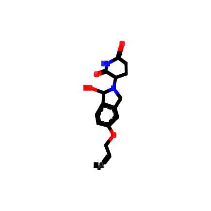 C=CCOc1ccc2c(c1)CN(C1CCC(=O)NC1=O)C2O